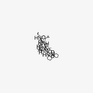 C=CCNC(=O)C(=O)[C@H](CCC1CC1)NC(=O)[C@@H]1[C@@H]2[C@H](CN1C(=O)[C@@H](NC(=O)NC1(CS(=O)(=O)C3(C)CCCCC3)CCCCC1)C(C)(C)C)C2(C)C